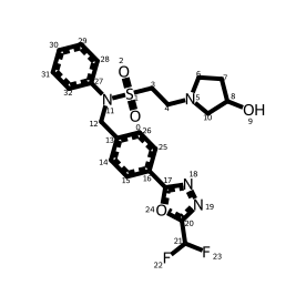 O=S(=O)(CCN1CCC(O)C1)N(Cc1ccc(-c2nnc(C(F)F)o2)cc1)c1ccccc1